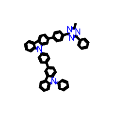 Cc1nc(-c2ccccc2)nc(-c2ccc(-c3ccc4c5ccccc5n(-c5ccc(-c6ccc7c(c6)c6ccccc6n7-c6ccccc6)cc5)c4c3)cc2)n1